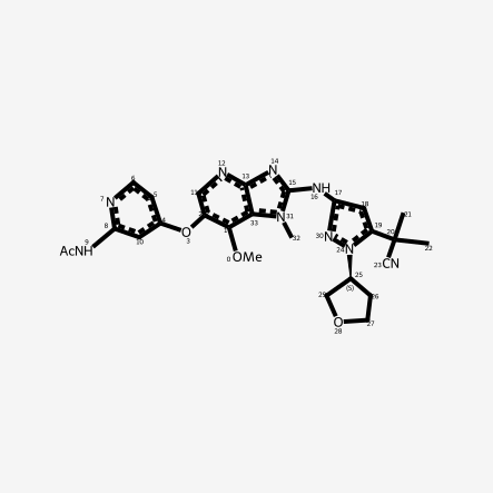 COc1c(Oc2ccnc(NC(C)=O)c2)cnc2nc(Nc3cc(C(C)(C)C#N)n([C@H]4CCOC4)n3)n(C)c12